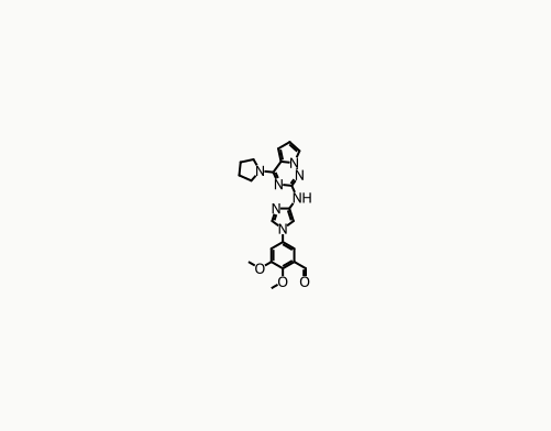 COc1cc(-n2cnc(Nc3nc(N4CCCC4)c4cccn4n3)c2)cc(C=O)c1OC